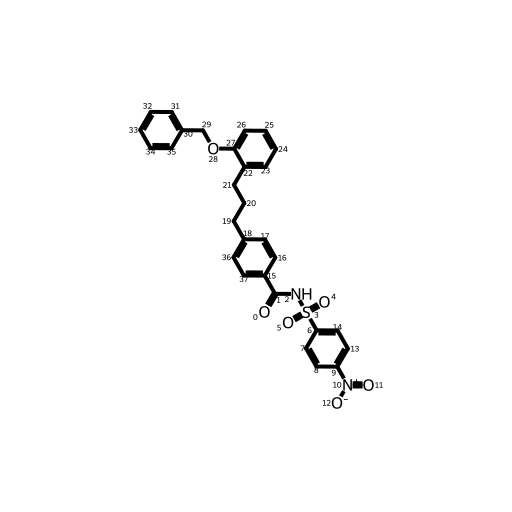 O=C(NS(=O)(=O)c1ccc([N+](=O)[O-])cc1)c1ccc(CCCc2ccccc2OCc2ccccc2)cc1